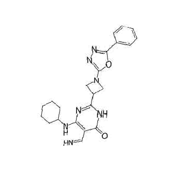 N=Cc1c(NC2CCCCC2)nc(C2CN(c3nnc(-c4ccccc4)o3)C2)[nH]c1=O